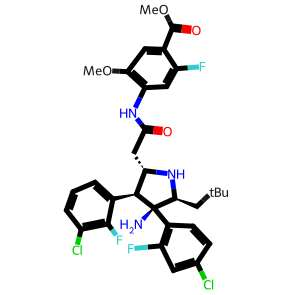 COC(=O)c1cc(OC)c(NC(=O)C[C@@H]2N[C@@H](CC(C)(C)C)[C@](N)(c3ccc(Cl)cc3F)[C@H]2c2cccc(Cl)c2F)cc1F